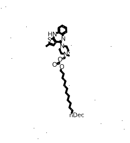 CCCCCCCCCCCCCCCCCCCCCCOC(=O)OC[N+]1(C)CCN(C2=Nc3ccccc3Nc3sc(C)cc32)CC1